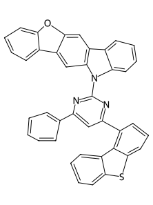 c1ccc(-c2cc(-c3cccc4sc5ccccc5c34)nc(-n3c4ccccc4c4cc5oc6ccccc6c5cc43)n2)cc1